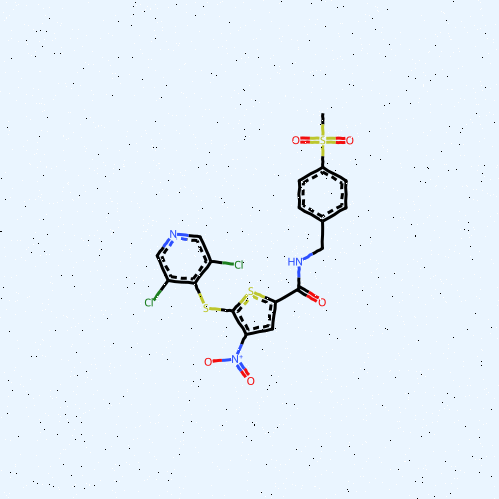 CS(=O)(=O)c1ccc(CNC(=O)c2cc([N+](=O)[O-])c(Sc3c(Cl)cncc3Cl)s2)cc1